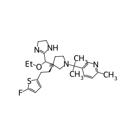 CCOC(C1=NCCN1)[C@]1(CCc2ccc(F)s2)CCN(C(C)(C)c2ccc(C)nc2)C1